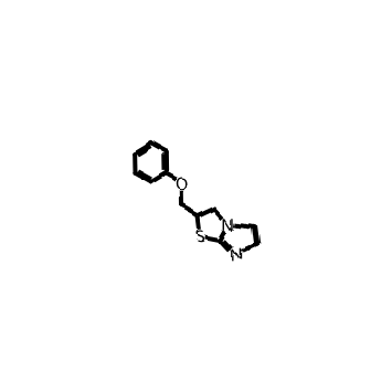 c1ccc(OCC2CN3CCN=C3S2)cc1